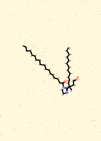 CCCCCCCCCCCCCCCCCC(=O)N1CCN=C1C(C)(CC=O)CCCCCCCCCCCC